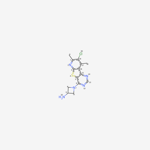 Cc1nc2sc3c(N4CC(N)C4)ncnc3c2c(C)c1Cl